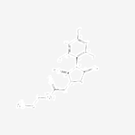 Cc1cc(C)c([C@H]2C(=O)CC(CC(=O)NCCC#N)C2=O)c(C)c1